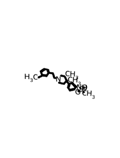 CCc1cccc(CCN2CCC(C)(c3cccc(NS(C)(=O)=O)c3)C(C)C2)c1